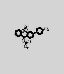 COC(=O)OC(c1ccccc1)c1ccc(-c2ccc(OC)cc2)cc1[N+](=O)[O-]